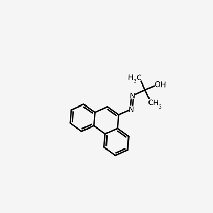 CC(C)(O)N=Nc1cc2ccccc2c2ccccc12